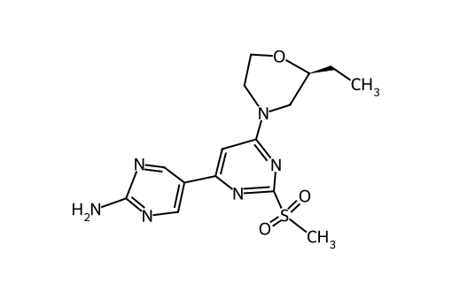 CC[C@H]1CN(c2cc(-c3cnc(N)nc3)nc(S(C)(=O)=O)n2)CCO1